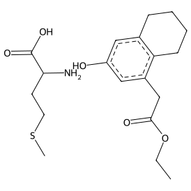 CCOC(=O)Cc1cc(O)cc2c1CCCC2.CSCCC(N)C(=O)O